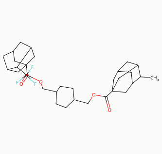 CC1C2CC3CC1CC(C(=O)OCC1CCC(COC(=O)C45CC6CC(C4)C(C(F)(F)F)C(C6)C5)CC1)(C3)C2